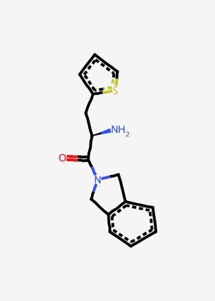 N[C@H](Cc1cccs1)C(=O)N1Cc2ccccc2C1